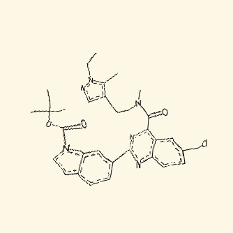 CCn1ncc(CN(C)C(=O)c2nc(-c3ccc4ccn(C(=O)OC(C)(C)C)c4c3)nc3ccc(Cl)cc23)c1C